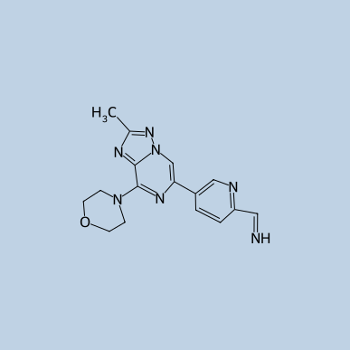 Cc1nc2c(N3CCOCC3)nc(-c3ccc(C=N)nc3)cn2n1